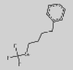 FC(F)(F)[Se]CCCCc1ccccc1